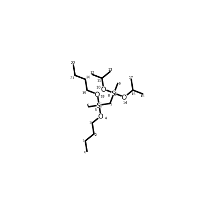 CCCCO[Si](C)(C[Si](C)(OC(C)C)OC(C)C)OCCCC